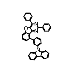 c1ccc(-c2nc(-c3ccccc3)c3oc4cccc(-c5cccc(-n6c7ccccc7c7ccccc76)c5)c4c3n2)cc1